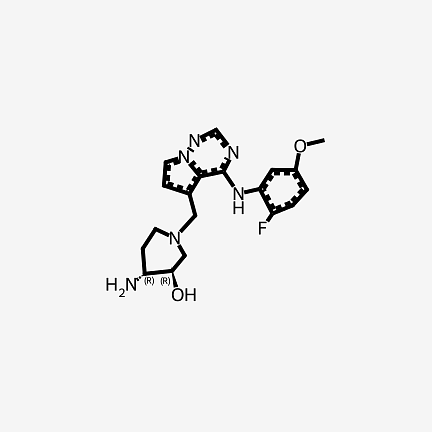 COc1ccc(F)c(Nc2ncnn3ccc(CN4CC[C@@H](N)[C@H](O)C4)c23)c1